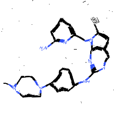 CN1CCN(c2ccc(Nc3ncc4cc(C(C)(C)C)n(-c5cccc(N)n5)c4n3)cc2)CC1